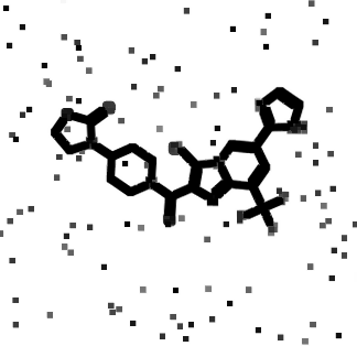 O=C(c1nc2c(C(F)(F)F)cc(-c3ncc[nH]3)cn2c1Cl)N1CCC(N2CCOC2=O)CC1